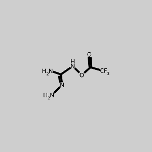 NN=C(N)NOC(=O)C(F)(F)F